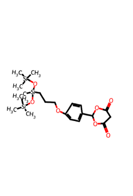 C[Si](C)(C)O[Si](C)(CCCOc1ccc(C2OC(=O)CC(=O)O2)cc1)O[Si](C)(C)C